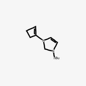 CCCCN1C=CN(C2=CCC2)C1